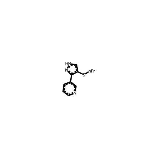 CCCSc1c[nH]nc1-c1cccnc1